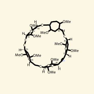 COC1C[C@H]2CC[C@@H]3CC(OC)[C@H](/C=C\[C@H]4CC(OC)[C@@H](CC[C@@H]5CC(OC)[C@@H](CC[C@H]6CC(OC)[C@@H](CC1CCC2OC)CC6OC)CC5OC)CC4OC)CC3OC